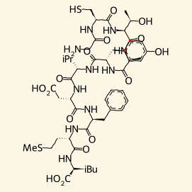 CC[C@H](C)[C@H](NC(=O)[C@H](CCSC)NC(=O)[C@H](Cc1ccccc1)NC(=O)[C@H](CC(=O)O)NC(=O)[C@@H](NC(=O)[C@H](Cc1ccc(O)cc1)NC(=O)[C@H](C)NC(=O)[C@@H](NC(=O)[C@H](CS)NC(=O)[C@H](C)N)[C@@H](C)O)C(C)C)C(=O)O